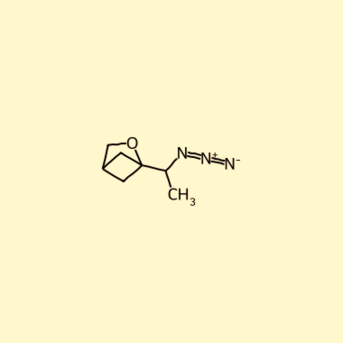 CC(N=[N+]=[N-])C12CC(CO1)C2